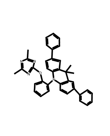 Cc1nc(C)nc(Oc2ccccc2N2c3ccc(-c4ccccc4)cc3C(C)(C)c3cc(-c4ccccc4)ccc32)n1